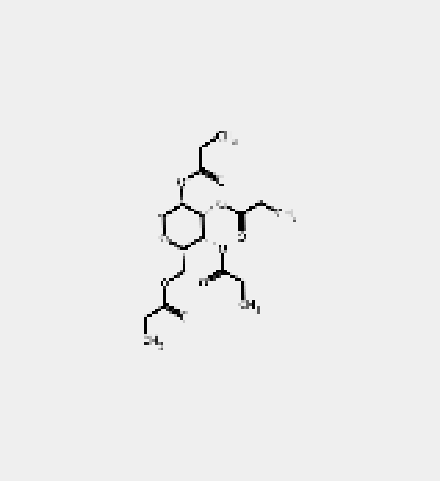 CCC(=O)OC[C@H]1O[CH][C@@H](OC(=O)CC)[C@H](OC(=O)CC)[C@@H]1OC(=O)CC